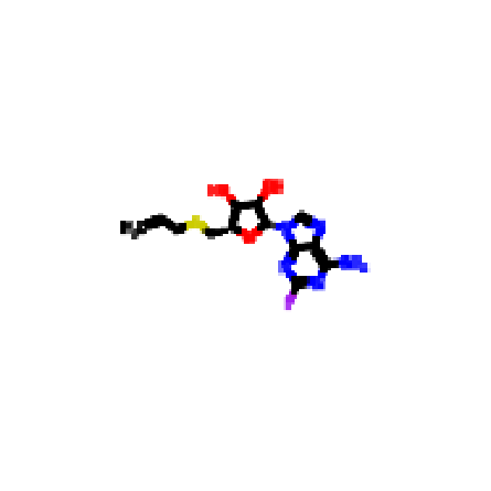 C=CCSC[C@H]1O[C@@H](n2cnc3c(N)nc(I)nc32)[C@H](O)[C@@H]1O